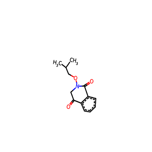 CC(C)CON1CC(=O)c2ccccc2C1=O